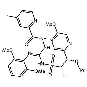 COc1cnc([C@H](OC(C)C)[C@H](C)S(=O)(=O)N/C(=N\c2c(OC)cccc2OC)NNC(=O)c2cc(C)ccn2)cn1